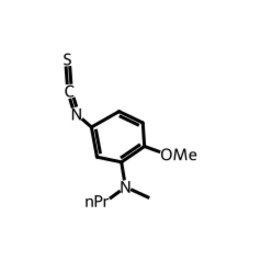 CCCN(C)c1cc(N=C=S)ccc1OC